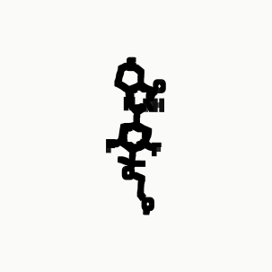 COCCOC(C)(C)c1c(F)cc(-c2nc3c(c(=O)[nH]2)CSCC3)cc1F